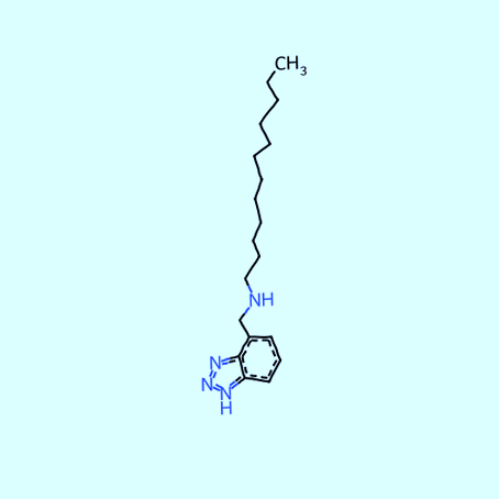 CCCCCCCCCCCCNCc1cccc2[nH]nnc12